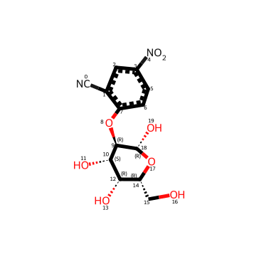 N#Cc1cc([N+](=O)[O-])ccc1O[C@@H]1[C@@H](O)[C@@H](O)[C@@H](CO)O[C@H]1O